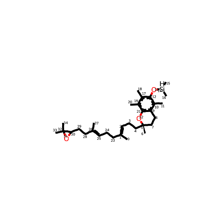 C/C(=C\CC[C@@]1(C)CCc2c(C)c(O[SiH](C)C)c(C)c(C)c2O1)CC/C=C(\C)CCC1OC1(C)C